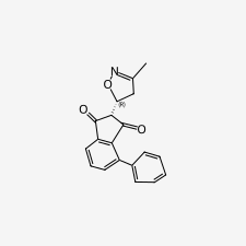 CC1=NO[C@@H](C2C(=O)c3cccc(-c4ccccc4)c3C2=O)C1